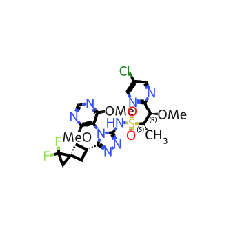 COc1ncnc(OC)c1-n1c(NS(=O)(=O)[C@@H](C)[C@H](OC)c2ncc(Cl)cn2)nnc1[C@H]1C[C@@]2(CC2(F)F)C1